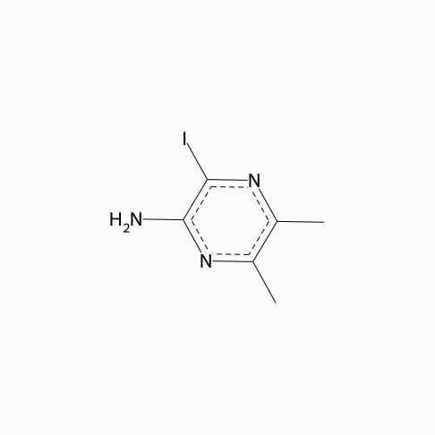 Cc1nc(N)c(I)nc1C